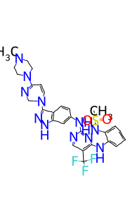 CN1CCN(C2=NCN(c3n[nH]c4cc(Nc5ncc(C(F)(F)F)c(Nc6ccccc6NS(C)(=O)=O)n5)ccc34)C=C2)CC1